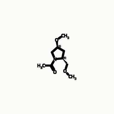 COC[C@H]1C[C@H](OC)CN1C(C)=O